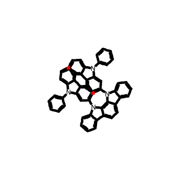 c1ccc(-n2c3ccccc3c3ccc(-n4c5ccccc5c5ccc6c7ccccc7n(-c7ccc8c9ccccc9n(-c9ccccc9)c8c7)c6c54)cc32)cc1